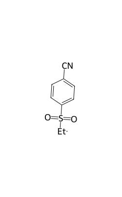 C[CH]S(=O)(=O)c1ccc(C#N)cc1